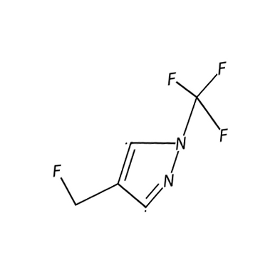 FCc1[c]nn(C(F)(F)F)[c]1